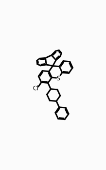 Clc1ccc2c(c1C1CCC(c3ccccc3)CC1)Sc1ccccc1C21c2ccccc2-c2ccccc21